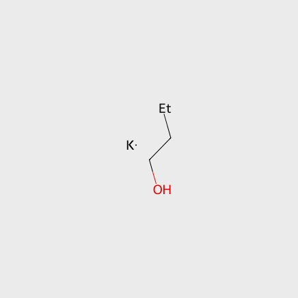 CCCCO.[K]